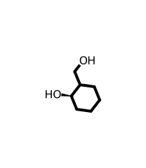 OCC1CCCC[C@H]1O